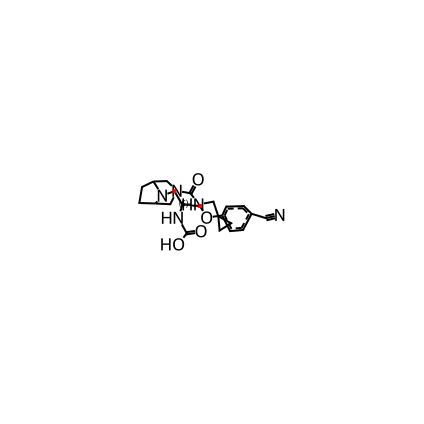 N#Cc1ccc(OC[C@H](CN2C3CCC2CN(C(=O)NCC2CC2)C3)NC(=O)O)cc1